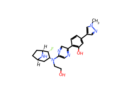 Cn1cc(-c2ccc(-c3cnc(N(CCO)[C@@H]4C[C@H]5CC[C@H](N5)[C@@H]4F)cn3)c(O)c2)cn1